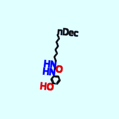 CCCCCCCCCCCCCCCCCCNC(=O)Nc1cccc(O)c1